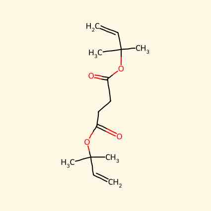 C=CC(C)(C)OC(=O)CCC(=O)OC(C)(C)C=C